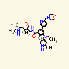 CCN(c1cc(-c2ccc(CN3CCOCC3)nc2)cc(C(=O)NC/C(C=O)=C(C)/C=C(/C)NC)c1C)C1CCNC(C)C1